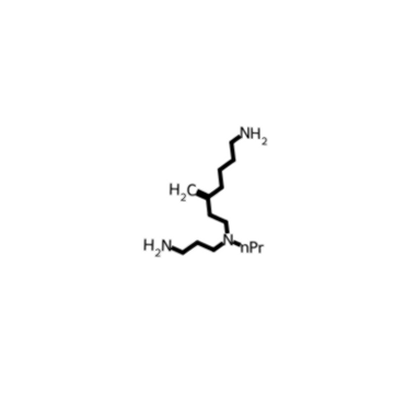 C=C(CCCCN)CCN(CCC)CCCN